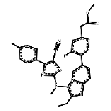 CCc1nc2ccc(-c3ncc(CC(=O)OC)cc3F)cn2c1N(C)c1nc(-c2ccc(C)cc2)c(C#N)s1